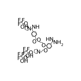 N=C(N)c1ccc(OCCN2CCCC2)c(OCCOC(=O)c2ccc(C(=N)N3CCCC3)cc2)c1.O=C(O)C(F)(F)F.O=C(O)C(F)(F)F.O=C(O)C(F)(F)F